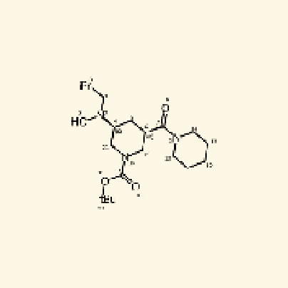 CC(C)CN(O)[C@H]1C[C@@H](C(=O)N2CCCCC2)CN(C(=O)OC(C)(C)C)C1